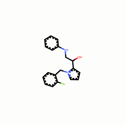 OC(CNc1ccccc1)c1cccn1Cc1ccccc1F